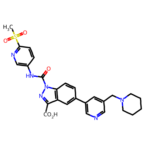 CS(=O)(=O)c1ccc(NC(=O)n2nc(C(=O)O)c3cc(-c4cncc(CN5CCCCC5)c4)ccc32)cn1